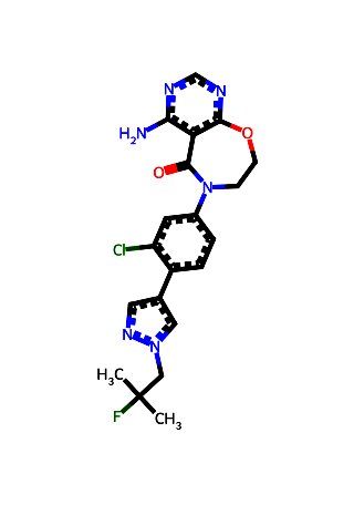 CC(C)(F)Cn1cc(-c2ccc(N3CCOc4ncnc(N)c4C3=O)cc2Cl)cn1